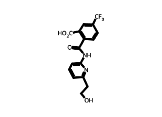 O=C(O)c1cc(C(F)(F)F)ccc1C(=O)Nc1cccc(CCO)n1